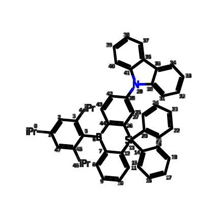 CC(C)c1cc(C(C)C)c(B2c3ccccc3[Si](c3ccccc3)(c3ccccc3)c3cc(-n4c5ccccc5c5ccccc54)ccc32)c(C(C)C)c1